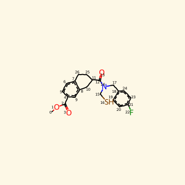 COC(=O)c1ccc2c(c1)CC(C(=O)N(CS)Cc1ccc(F)cc1)CC2